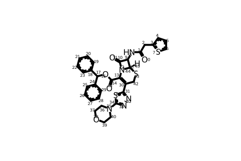 O=C(Cc1cccs1)NC1C(=O)N2C(C(=O)OC(c3ccccc3)c3ccccc3)=C(c3nnc(N4CCOCC4)s3)CS[C@@H]12